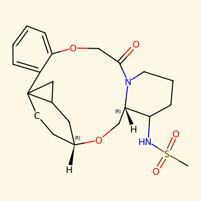 CS(=O)(=O)NC1CCCN2C(=O)COc3ccccc3C34CC[C@H](CC3C4)OC[C@@H]12